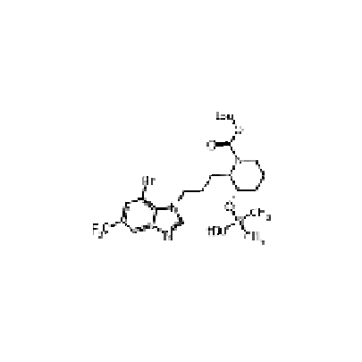 CC(C)(C)OC(=O)N1CCC[C@H](O[Si](C)(C)C(C)(C)C)[C@H]1CCCn1cnc2cc(C(F)(F)F)cc(Br)c21